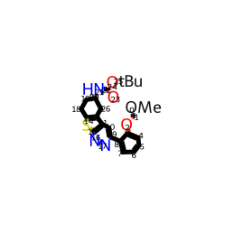 COCOc1ccccc1-c1cc2c3c(sc2nn1)CC[C@H](NC(=O)OC(C)(C)C)C3